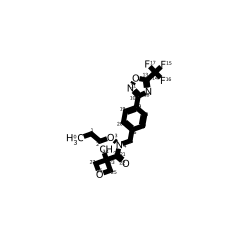 CCCON(Cc1ccc(-c2noc(C(F)(F)F)n2)cc1)C(=O)C1(C)COC1